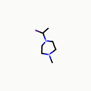 CC(I)N1CCN(C)CC1